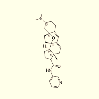 CN(C)[C@@H]1CCC2=CC3=CC[C@]4(C)C(C(=O)Nc5cccnc5)CC[C@H]4[C@@]34CC[C@]2(C1)O4